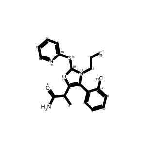 CC(C(N)=O)C1=C(c2ccccc2Cl)N(CCCl)C(Sc2ccccn2)O1